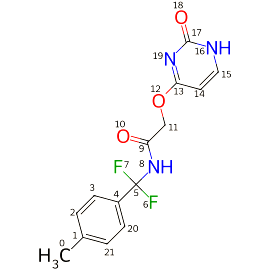 Cc1ccc(C(F)(F)NC(=O)COc2cc[nH]c(=O)n2)cc1